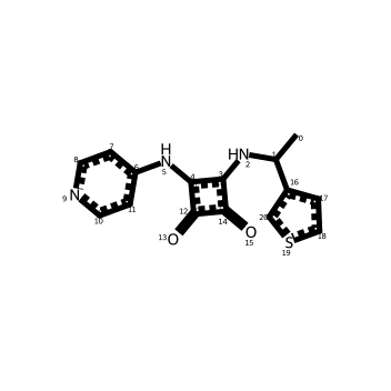 CC(Nc1c(Nc2ccncc2)c(=O)c1=O)c1ccsc1